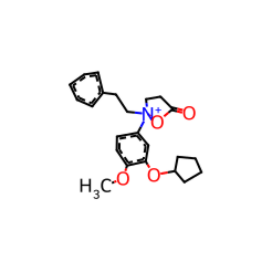 COc1ccc([N+]2(CCc3ccccc3)CCC(=O)O2)cc1OC1CCCC1